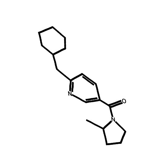 CC1CCCN1C(=O)c1ccc(CC2CCCCC2)nc1